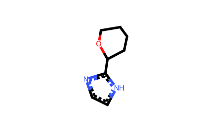 c1c[nH]c(C2CCCCO2)n1